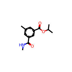 CNC(=O)c1cc(C)cc(C(=O)OC(C)C)c1